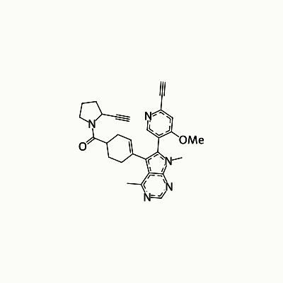 C#Cc1cc(OC)c(-c2c(C3=CCC(C(=O)N4CCCC4C#C)CC3)c3c(C)ncnc3n2C)cn1